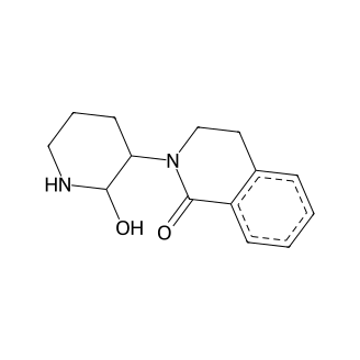 O=C1c2ccccc2CCN1C1CCCNC1O